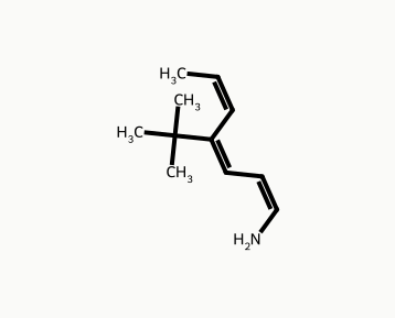 C\C=C/C(=C\C=C/N)C(C)(C)C